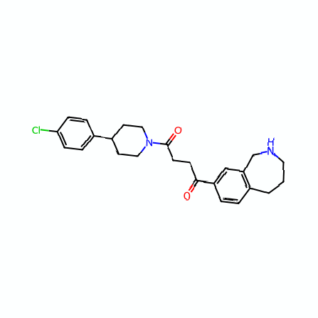 O=C(CCC(=O)N1CCC(c2ccc(Cl)cc2)CC1)c1ccc2c(c1)CNCCC2